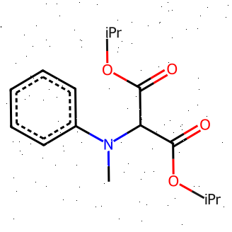 CC(C)OC(=O)C(C(=O)OC(C)C)N(C)c1ccccc1